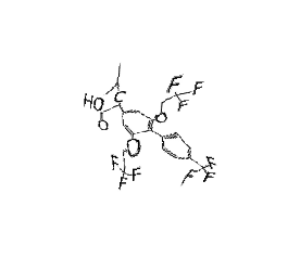 CC(C)CC(C(=O)O)c1cc(OCC(F)(F)F)c(-c2ccc(C(F)(F)F)cc2)c(OCC(F)(F)F)c1